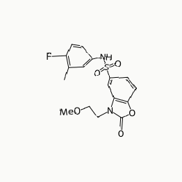 COCCn1c(=O)oc2ccc(S(=O)(=O)Nc3ccc(F)c(C)c3)cc21